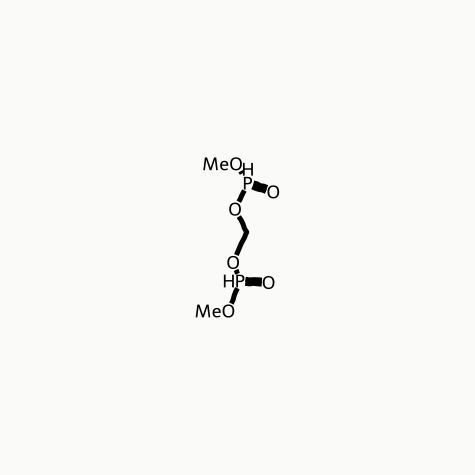 CO[PH](=O)OCO[PH](=O)OC